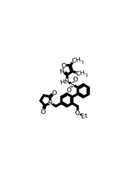 CCOCc1cc(CN2C(=O)CCC2=O)ccc1-c1ccccc1S(=O)(=O)Nc1noc(C)c1C